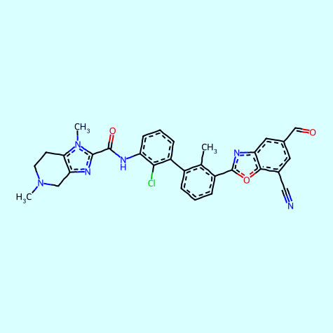 Cc1c(-c2nc3cc(C=O)cc(C#N)c3o2)cccc1-c1cccc(NC(=O)c2nc3c(n2C)CCN(C)C3)c1Cl